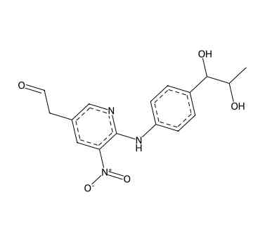 CC(O)C(O)c1ccc(Nc2ncc(CC=O)cc2[N+](=O)[O-])cc1